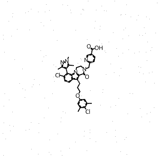 Cc1cc(OCCCc2c3n(c4c(-c5c(C)nn(C)c5C)c(Cl)ccc24)CCN(Cc2ccc(C(=O)O)cn2)C3=O)cc(C)c1Cl